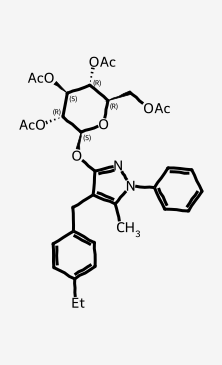 CCc1ccc(Cc2c(O[C@@H]3O[C@H](COC(C)=O)[C@@H](OC(C)=O)[C@H](OC(C)=O)[C@H]3OC(C)=O)nn(-c3ccccc3)c2C)cc1